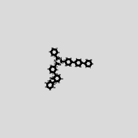 c1ccc(-c2ccc(-c3ccc(-c4nc(-c5ccccc5)nc(-c5cccc(-c6cccc7c6sc6ccccc67)c5)n4)cc3)cc2)cc1